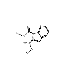 CC(C)(C)OC(=O)n1c(B(O)OCl)cc2ccccc21